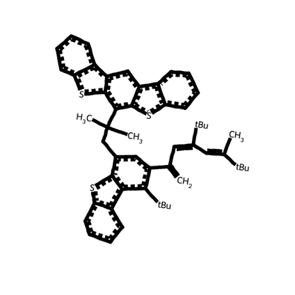 C=C(/C=C(\C=C(/C)C(C)(C)C)C(C)(C)C)c1cc(CC(C)(C)c2c3sc4ccccc4c3cc3c2sc2ccccc23)c2sc3ccccc3c2c1C(C)(C)C